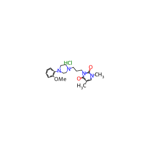 COc1ccccc1N1CCN(CCCn2c(=O)c(C)cn(C)c2=O)CC1.Cl